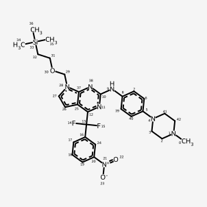 CN1CCN(c2ccc(Nc3nc(C(F)(F)c4cccc([N+](=O)[O-])c4)c4ccn(COCC[Si](C)(C)C)c4n3)cc2)CC1